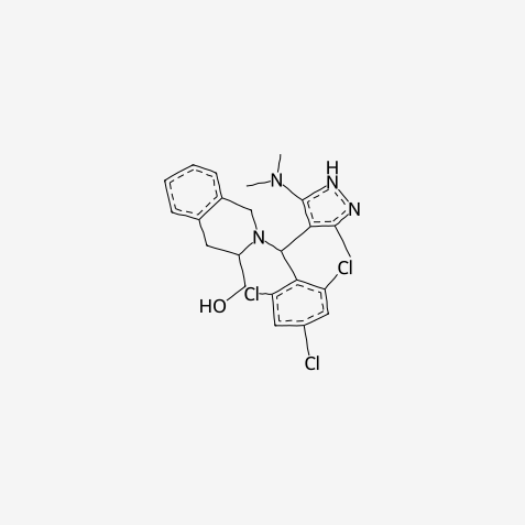 Cc1n[nH]c(N(C)C)c1C(c1c(Cl)cc(Cl)cc1Cl)N1Cc2ccccc2CC1CO